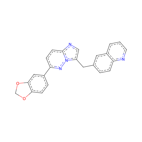 c1cnc2ccc(Cc3cnc4ccc(-c5ccc6c(c5)OCO6)nn34)cc2c1